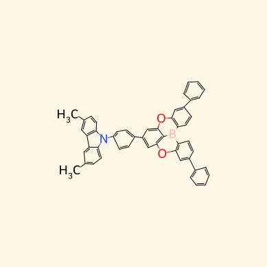 Cc1ccc2c(c1)c1cc(C)ccc1n2-c1ccc(-c2cc3c4c(c2)Oc2cc(-c5ccccc5)ccc2B4c2ccc(-c4ccccc4)cc2O3)cc1